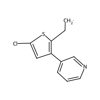 [CH2]Cc1sc(Cl)cc1-c1cccnc1